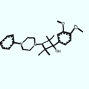 COc1ccc(C2(O)C(C)(C)C(N3CCN(c4ccccc4)CC3)C2(C)C)cc1OC